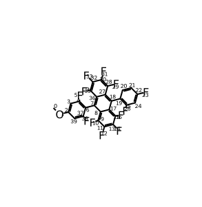 COc1cc(F)c(-c2c3c(F)c(F)c(F)c(F)c3c(-c3ccc(F)cc3F)c3c(F)c(F)c(F)c(F)c23)c(F)c1